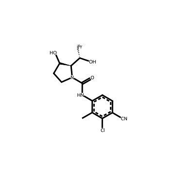 Cc1c(NC(=O)N2CCC(O)[C@H]2[C@@H](O)C(C)C)ccc(C#N)c1Cl